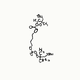 CC(C)(C)CC(C)(C)OOC(=O)OCCCCOC(=O)OOC(C)(C)CC(C)(C)C